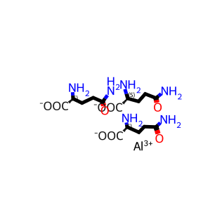 NC(=O)CC[C@H](N)C(=O)[O-].NC(=O)CC[C@H](N)C(=O)[O-].NC(=O)CC[C@H](N)C(=O)[O-].[Al+3]